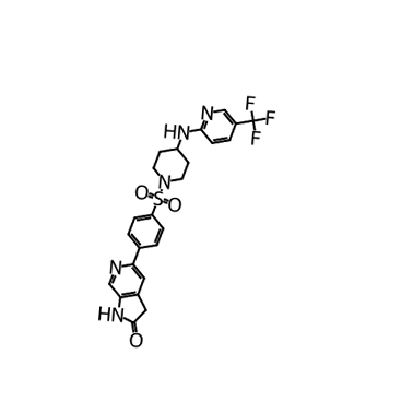 O=C1Cc2cc(-c3ccc(S(=O)(=O)N4CCC(Nc5ccc(C(F)(F)F)cn5)CC4)cc3)ncc2N1